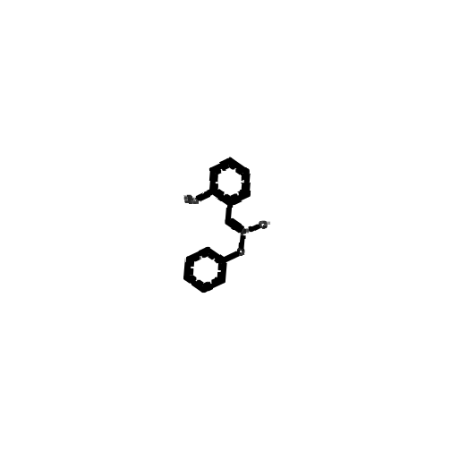 CC(C)(C)c1ccccc1/C=[P+](\[O-])Oc1ccccc1